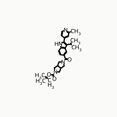 Cc1cc(-c2[nH]c3ccc(C(=O)N4CC5CN(C(=O)OC(C)(C)C)CC5C4)cc3c2C(C)C)ccn1